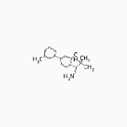 C=C(C)/C(=C/N)c1ccc(-c2cccc(C)c2)cc1C